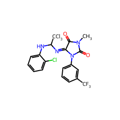 CN1C(=O)C(=NC(Nc2ccccc2Cl)C(Cl)(Cl)Cl)N(c2cccc(C(F)(F)F)c2)C1=O